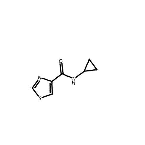 O=C(NC1CC1)c1cs[c]n1